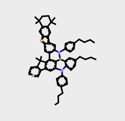 CCCCc1ccc(N2B3c4cc(CCCC)ccc4N(c4ccc(CCCC)cc4)c4cc5c(c(c43)-c3cc4sc6cc7c(cc6c4cc32)C(C)(C)CCC7(C)C)C(C)(C)c2ccccc2-5)cc1